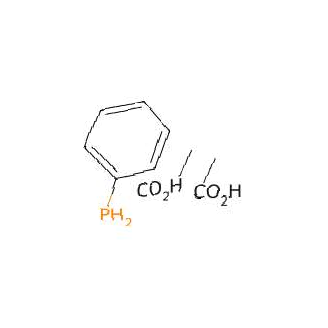 CC(=O)O.CC(=O)O.Pc1ccccc1